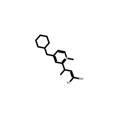 CC/C(O)=C\C(C)c1cc(CC2CCCCC2)cc[n+]1C